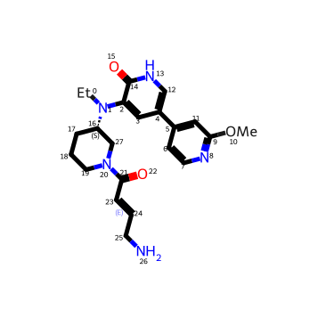 CCN(c1cc(-c2ccnc(OC)c2)c[nH]c1=O)[C@H]1CCCN(C(=O)/C=C/CN)C1